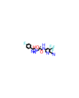 C[C@](O)(Cn1cc(-c2ccc(F)cc2)nn1)C(=O)Nc1cnc(C#N)c(C(F)(F)F)c1